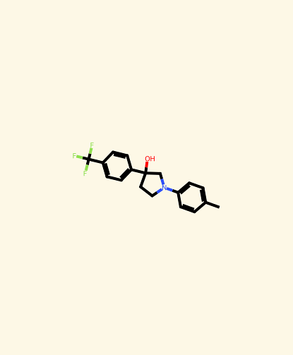 Cc1ccc(N2CCC(O)(c3ccc(C(F)(F)F)cc3)C2)cc1